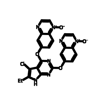 CCc1[nH]c2nc(Oc3ccc4c(c3)ncc[n+]4[O-])nc(Oc3ccc4c(c3)ncc[n+]4[O-])c2c1Cl